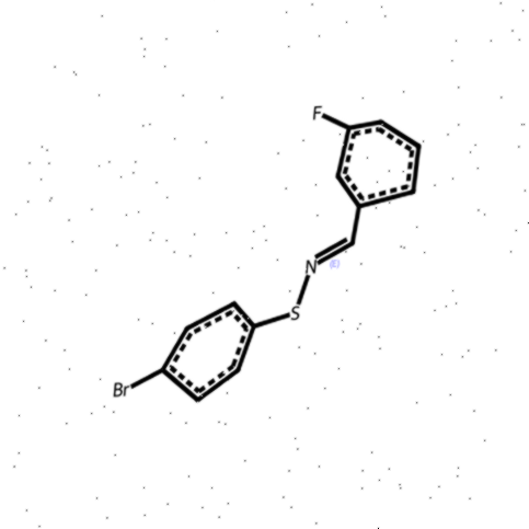 Fc1cccc(/C=N/Sc2ccc(Br)cc2)c1